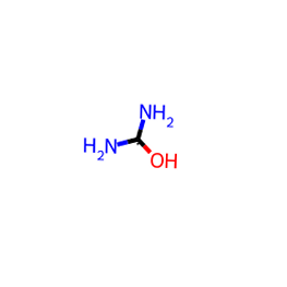 N[C](N)O